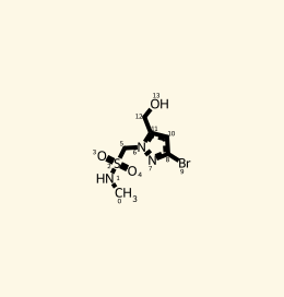 CNS(=O)(=O)Cn1nc(Br)cc1CO